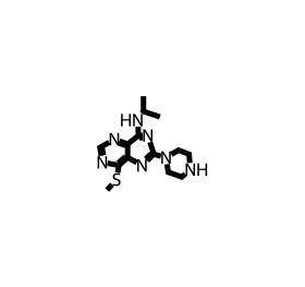 CSc1ncnc2c(NC(C)C)nc(N3CCNCC3)nc12